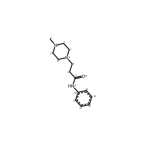 CN1CCN(CCC(=O)Nc2cc[c]cc2)CC1